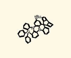 CC(C)(C)c1cc2c3c(c1)C1(c4ccccc4B3c3cccc4c3N2c2ccccc2[Si]4(c2ccccc2)c2ccccc2)c2ccccc2-c2ccccc21